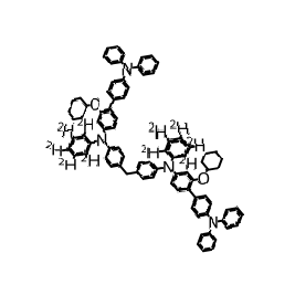 [2H]c1c([2H])c([2H])c(N(c2ccc(Cc3ccc(N(c4ccc(-c5ccc(N(c6ccccc6)c6ccccc6)cc5)c(OC5CCCCC5)c4)c4c([2H])c([2H])c([2H])c([2H])c4[2H])cc3)cc2)c2ccc(-c3ccc(N(c4ccccc4)c4ccccc4)cc3)c(OC3CCCCC3)c2)c([2H])c1[2H]